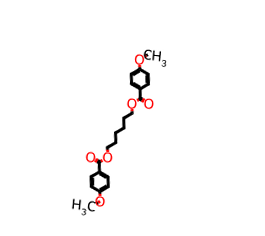 COc1ccc(C(=O)OCCCCCCOC(=O)c2ccc(OC)cc2)cc1